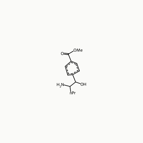 CCCC(N)C(O)c1ccc(C(=O)OC)cc1